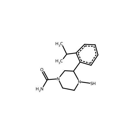 CC(C)c1ccccc1C1CN(C(N)=O)CCN1S